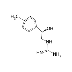 Cc1ccc([C@@H](O)CNC(=N)N)cc1